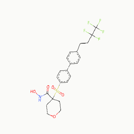 O=C(NO)C1(S(=O)(=O)c2ccc(-c3ccc(CCC(F)(F)C(F)(F)F)cc3)cc2)CCOCC1